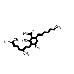 CCCCC/C=C/c1cc(O)c(C/C=C(\C)CCC=C(C)C)c(O)c1C(=O)O